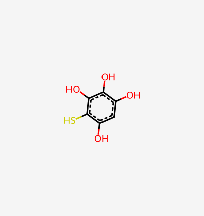 Oc1cc(O)c(S)c(O)c1O